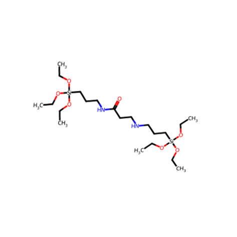 CCO[Si](CCCNCCC(=O)NCCC[Si](OCC)(OCC)OCC)(OCC)OCC